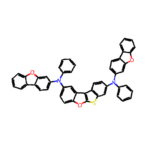 c1ccc(N(c2ccc3c(c2)oc2ccccc23)c2ccc3c(c2)sc2oc4ccc(N(c5ccccc5)c5ccc6c(c5)oc5ccccc56)cc4c23)cc1